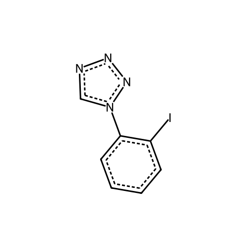 Ic1ccccc1-n1cnnn1